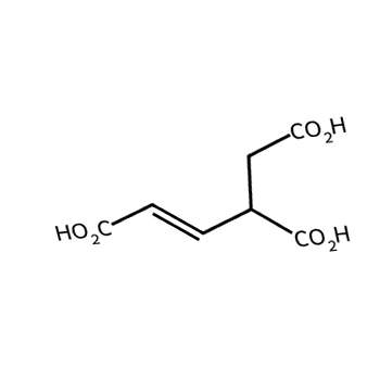 O=C(O)/C=C/C(CC(=O)O)C(=O)O